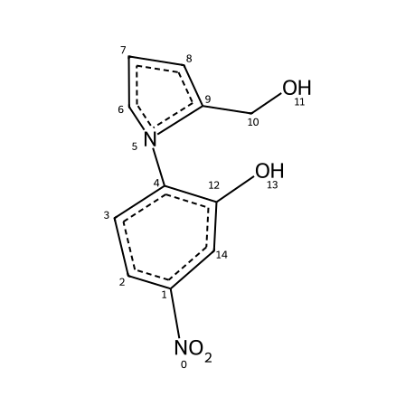 O=[N+]([O-])c1ccc(-n2cccc2CO)c(O)c1